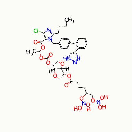 CCCCc1nc(Cl)c(C(=O)OC(C)OC(=O)O[C@@H]2CO[C@H]3[C@@H]2OC[C@H]3OC(=O)CCCC(CON(O)O)ON(O)O)n1Cc1ccc(-c2ccccc2-c2c[nH]nn2)cc1